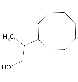 CC(CO)C1CCCCCCC1